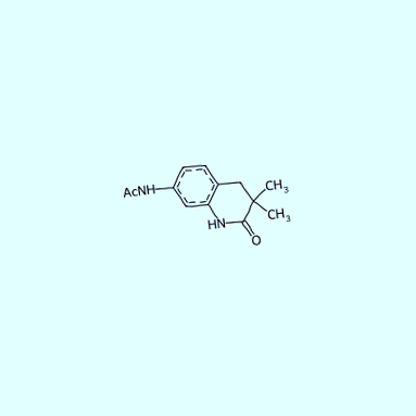 CC(=O)Nc1ccc2c(c1)NC(=O)C(C)(C)C2